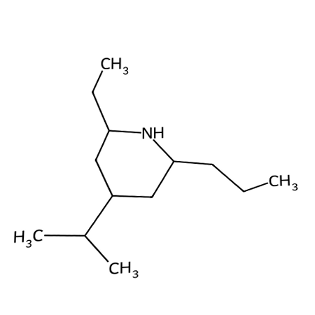 CCCC1CC(C(C)C)CC(CC)N1